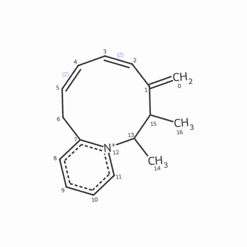 C=C1/C=C\C=C/Cc2cccc[n+]2C(C)C1C